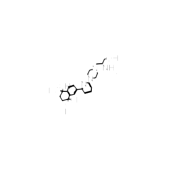 CC1(C)CCC(C)(C)c2cc(-c3cccc(N4CCN(CC(N)CO)CC4)n3)ccc21